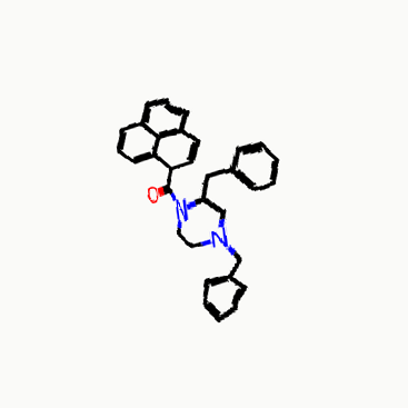 O=C(C1C=Cc2cccc3cccc1c23)N1CCN(Cc2ccccc2)CC1Cc1ccccc1